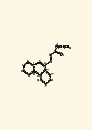 CN(O)C(=O)C=Cc1cc2ccccc2c2ccccc12